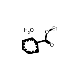 CCOC(=O)c1ccccc1.O